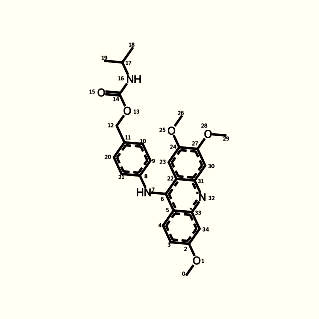 COc1ccc2c(Nc3ccc(COC(=O)NC(C)C)cc3)c3cc(OC)c(OC)cc3nc2c1